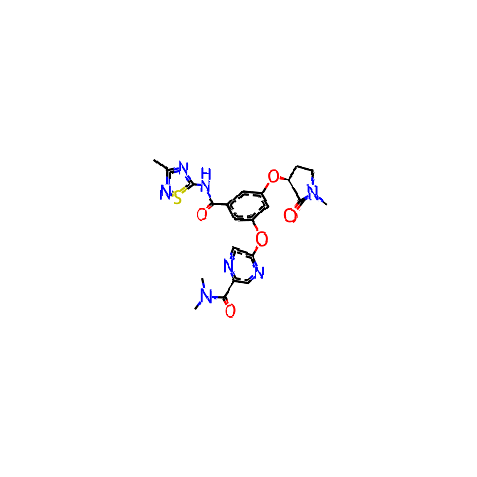 Cc1nsc(NC(=O)c2cc(Oc3cnc(C(=O)N(C)C)cn3)cc(O[C@H]3CCN(C)C3=O)c2)n1